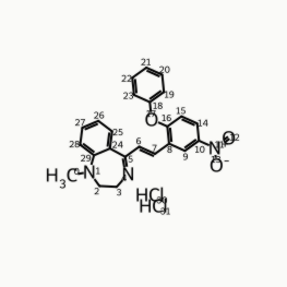 CN1CCN=C(/C=C/c2cc([N+](=O)[O-])ccc2Oc2ccccc2)c2ccccc21.Cl.Cl